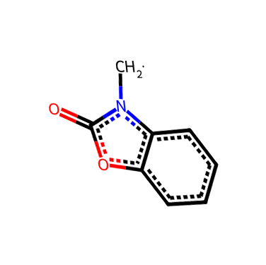 [CH2]n1c(=O)oc2ccccc21